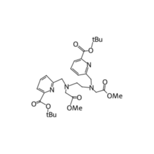 COC(=O)CN(CCN(CC(=O)OC)Cc1cccc(C(=O)OC(C)(C)C)n1)Cc1cccc(C(=O)OC(C)(C)C)n1